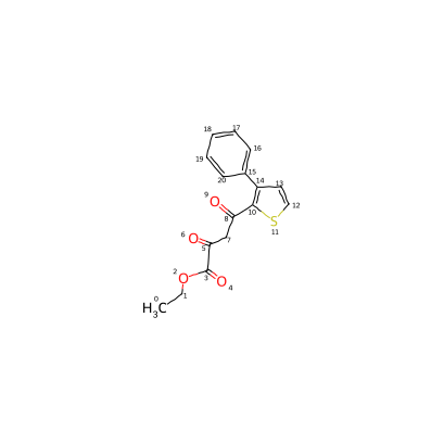 CCOC(=O)C(=O)CC(=O)c1sccc1-c1ccccc1